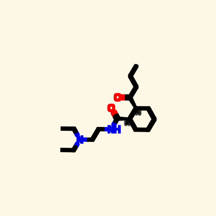 CCCC(=O)[C@H]1CCCC[C@H]1C(=O)NCCN(CC)CC